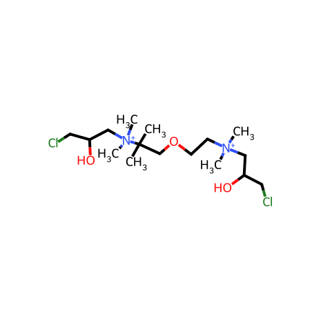 CC(C)(COCC[N+](C)(C)CC(O)CCl)[N+](C)(C)CC(O)CCl